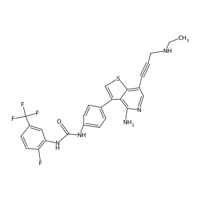 CCNCC#Cc1cnc(N)c2c(-c3ccc(NC(=O)Nc4cc(C(F)(F)F)ccc4F)cc3)csc12